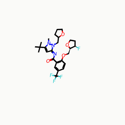 Cn1c(C(C)(C)C)cc(=NC(=O)c2cc(C(F)(F)F)ccc2OC[C@H]2OCC[C@H]2F)n1CC1CCCO1